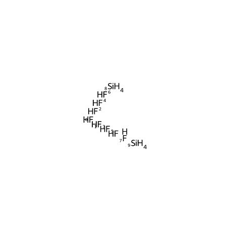 F.F.F.F.F.F.F.F.[SiH4].[SiH4]